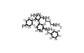 NCCCNc1n[nH]c(-c2ccc(F)cc2)c1-c1ccnc(NCc2ccccc2)c1